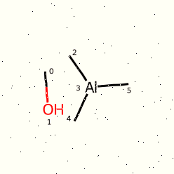 CO.[CH3][Al]([CH3])[CH3]